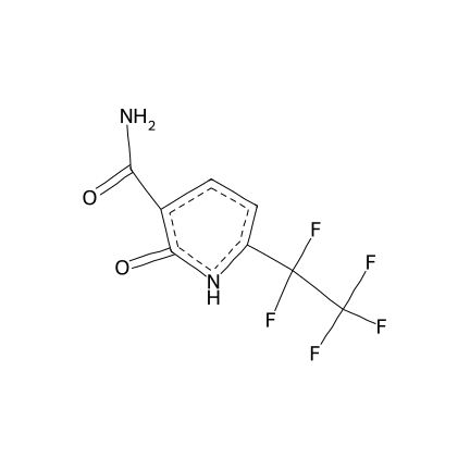 NC(=O)c1ccc(C(F)(F)C(F)(F)F)[nH]c1=O